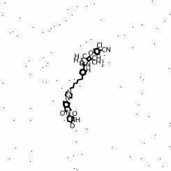 CC1(C)C(NC(=O)c2ccc(CCCCCCN3CCN(c4ccc5c(c4)CN([C@@H]4CCC(=O)NC4=O)C5=O)CC3)cc2)C(C)(C)C1Oc1ccc(C#N)c(Cl)c1